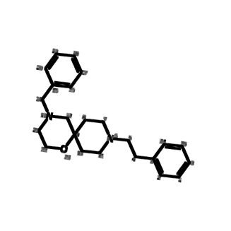 c1ccc(CCN2CCC3(CC2)CN(Cc2ccccc2)CCO3)cc1